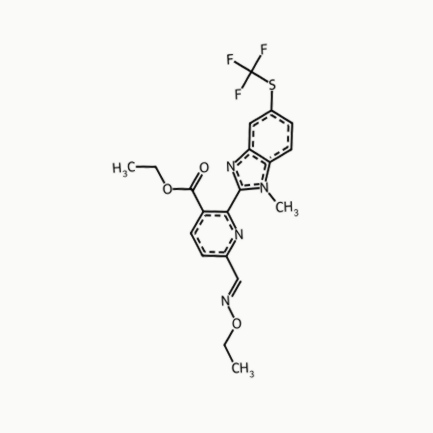 CCON=Cc1ccc(C(=O)OCC)c(-c2nc3cc(SC(F)(F)F)ccc3n2C)n1